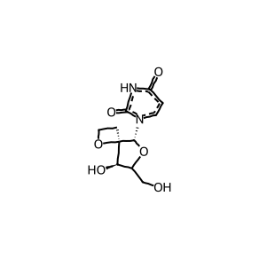 O=c1ccn([C@@H]2OC(CO)[C@@H](O)[C@]23CCO3)c(=O)[nH]1